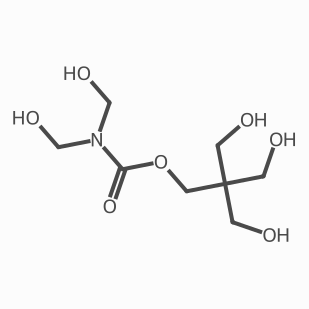 O=C(OCC(CO)(CO)CO)N(CO)CO